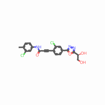 Cc1ccc(NC(=O)C#Cc2ccc(-c3nnc([C@@H](O)CO)o3)cc2Cl)cc1Cl